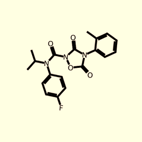 Cc1ccccc1-n1c(=O)on(C(=O)N(c2ccc(F)cc2)C(C)C)c1=O